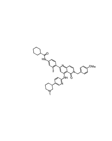 COc1ccc(Cn2ccc3nc(-c4ccc(NC(=O)C5CCCCC5)cc4F)cc(Nc4ccc(C5CCCN(C)C5)cn4)c3c2=O)cc1